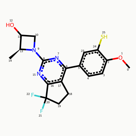 COc1ccc(-c2nc(N3CC(O)[C@@H]3C)nc3c2CCC3(F)F)cc1S